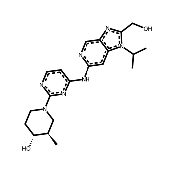 CC(C)n1c(CO)nc2cnc(Nc3ccnc(N4CC[C@@H](O)[C@H](C)C4)n3)cc21